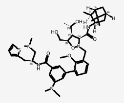 COc1c(CN2O[C@@H](CO)[C@@H]([C@H](C)O)[C@H]2C(=O)N[C@H]2C[C@H]3C[C@@H]([C@@H]2C)C3(C)C)cccc1-c1cc(C(=O)N[C@@H](Cc2cccs2)CN(C)C)cc(N(C)C)c1